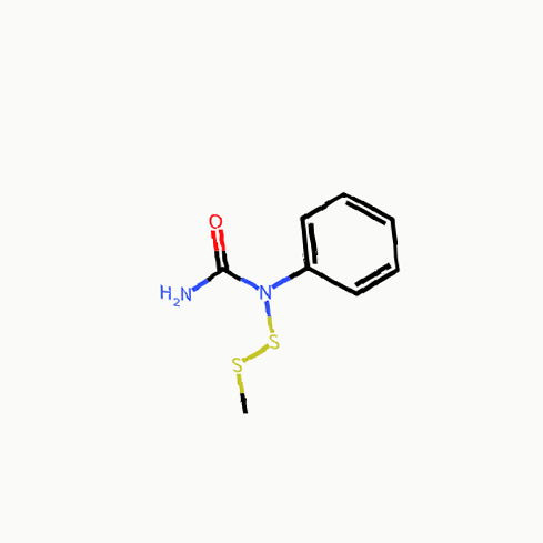 CSSN(C(N)=O)c1ccccc1